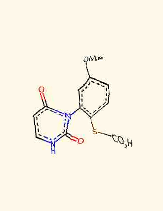 COc1ccc(SC(=O)O)c(-n2c(=O)cc[nH]c2=O)c1